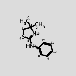 CC1(C)CSC(Nc2ccccc2)=N1